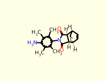 Cc1c(C)c(N2C(=O)[C@@H]3[C@H](C2=O)[C@@H]2C=C[C@H]3CC2)c(C)c(C)c1N